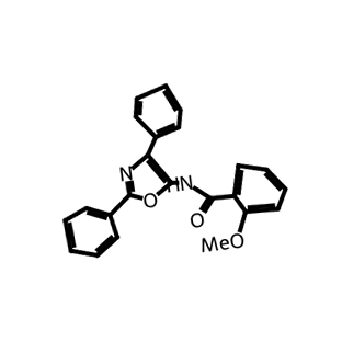 COc1ccccc1C(=O)Nc1oc(-c2ccccc2)nc1-c1ccccc1